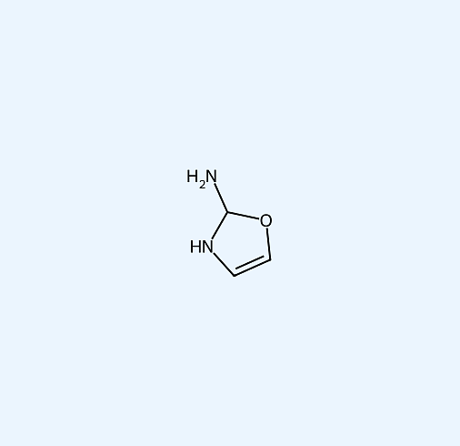 NC1NC=CO1